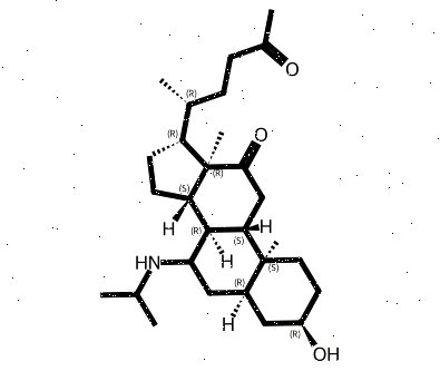 CC(=O)CC[C@@H](C)[C@H]1CC[C@H]2[C@@H]3C(NC(C)C)C[C@@H]4C[C@H](O)CC[C@]4(C)[C@H]3CC(=O)[C@]12C